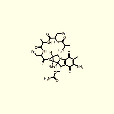 CO[C@]12[C@@H](COC(N)=O)C3=C(C(=O)C(C)=C(N)C3=O)N1C[C@@H]1[C@H]2N1C(=O)C(CC(C)C)NC(=O)C(C)NC(=O)C(CC(C)C)NC(=O)C(C)N